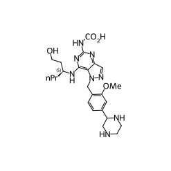 CCC[C@@H](CCO)Nc1nc(NC(=O)O)nc2cnn(Cc3ccc(C4CNCCN4)cc3OC)c12